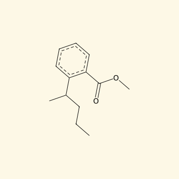 CCCC(C)c1ccccc1C(=O)OC